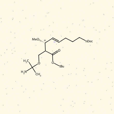 CCCCCCCCCCCCC/C=C/[C@@H](OC)C(COC(C)(C)N)C(=O)OC(C)(C)C